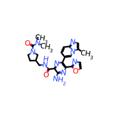 Cc1cnc2ccc(-c3nc(C(=O)NCC4CCN(C(=O)N(C)C)C4)c(N)nc3-c3ncco3)cn12